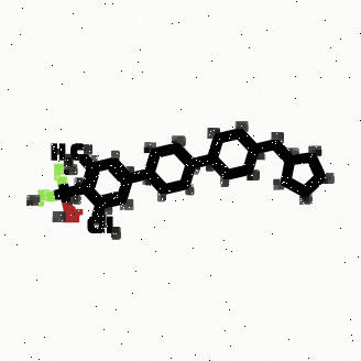 Cc1cc(C2CCC(C3CCC(CC4CCCC4)CC3)CC2)cc(C)c1C(F)(F)Br